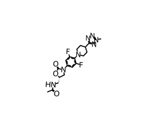 CC(=O)NC[C@H]1CN(c2cc(F)c(N3CCC(c4nnn(C)n4)CC3)c(F)c2)C(=O)O1